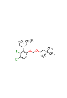 CCOC(=O)C[C@@H](C[N+](=O)[O-])c1c(OCOCC[Si](C)(C)C)ccc(Cl)c1F